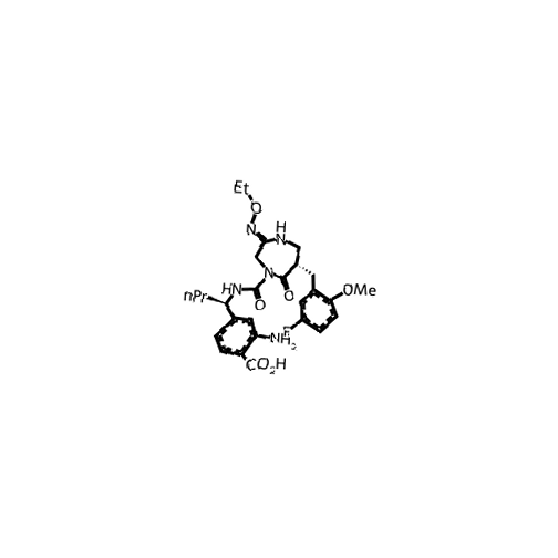 CCC[C@@H](NC(=O)N1C/C(=N/OCC)NC[C@H](Cc2cc(F)ccc2OC)C1=O)c1ccc(C(=O)O)c(N)c1